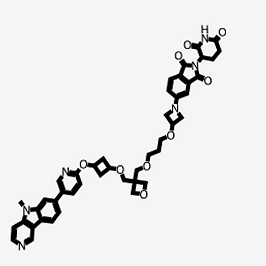 Cn1c2ccncc2c2ccc(-c3ccc(OC4CC(OCC5(COCCCOC6CN(c7ccc8c(c7)C(=O)N(C7CCC(=O)NC7=O)C8=O)C6)COC5)C4)nc3)cc21